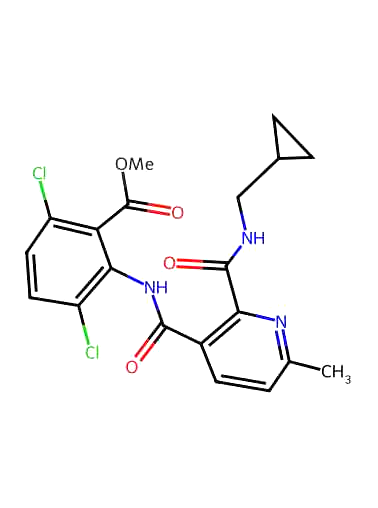 COC(=O)c1c(Cl)ccc(Cl)c1NC(=O)c1ccc(C)nc1C(=O)NCC1CC1